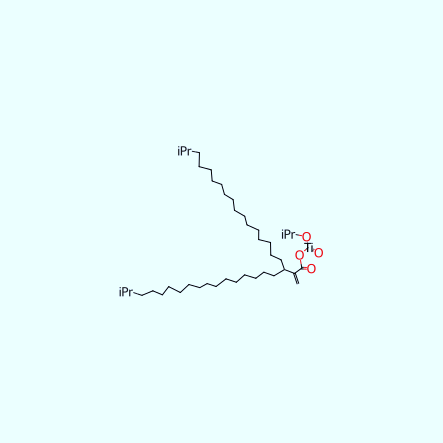 C=C(C(=O)[O][Ti](=[O])[O]C(C)C)C(CCCCCCCCCCCCCCCC(C)C)CCCCCCCCCCCCCCCC(C)C